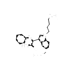 CC(=O)O.NCCCCn1cc(-c2nc3ccccc3[nH]c2=O)c2ccccc21